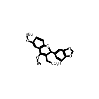 CCCCOc1ccc2c(c1)C(OC(C)C)=C(CC(=O)O)C(c1ccc3c(c1)OCO3)O2